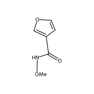 CONC(=O)c1ccoc1